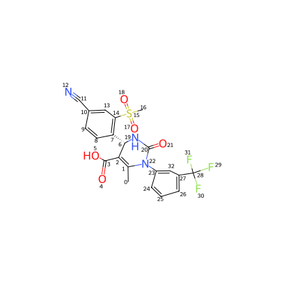 CC1=C(C(=O)O)[C@H](c2ccc(C#N)cc2S(C)(=O)=O)NC(=O)N1c1cccc(C(F)(F)F)c1